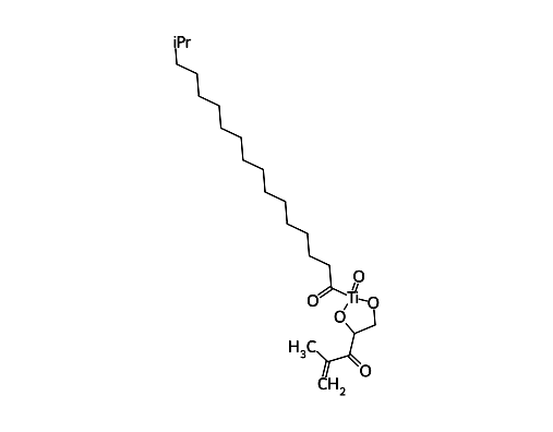 C=C(C)C(=O)C1C[O][Ti](=[O])([C](=O)CCCCCCCCCCCCCCC(C)C)[O]1